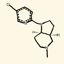 CN1CC[C@@H]2[C@@H](CCN2c2ccc(Cl)cn2)C1